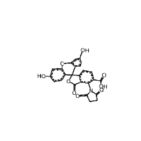 O=C(O)c1ccc2c(c1N1C(=O)CCC1=O)C(=O)OC21c2ccc(O)cc2Oc2cc(O)ccc21